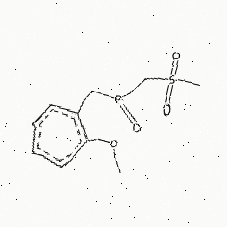 COc1ccccc1C[P](=O)CS(C)(=O)=O